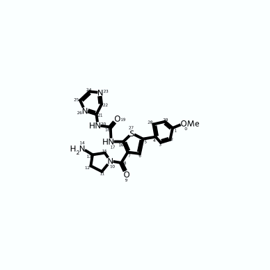 COc1ccc(-c2cc(C(=O)N3CCC(N)C3)c(NC(=O)Nc3cnccn3)s2)cc1